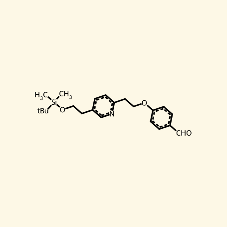 CC(C)(C)[Si](C)(C)OCCc1ccc(CCOc2ccc(C=O)cc2)nc1